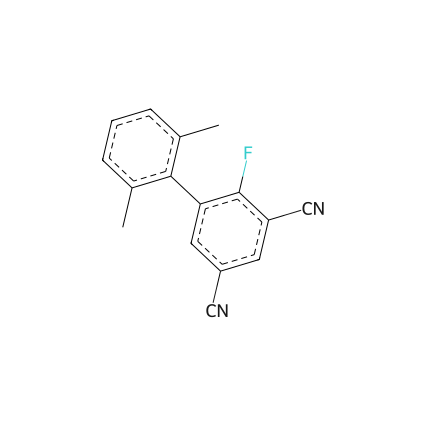 Cc1cccc(C)c1-c1cc(C#N)cc(C#N)c1F